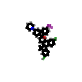 CC1(C)c2cc(F)ccc2-c2c1c1c(c3cc(F)ccc23)OC(c2ccc(P)cc2)(c2ccc(N3CCCCC3)cc2)C=C1